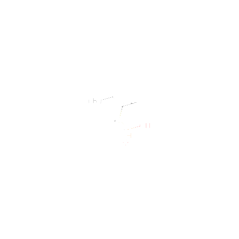 CCCCCC(CC)S[PH](=O)O